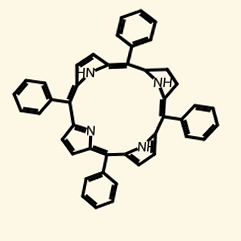 C1=C/C2=C(\c3ccccc3)c3ccc([nH]3)/C(c3ccccc3)=C3/CCC(N3)/C(c3ccccc3)=c3/cc/c([nH]3)=C(\c3ccccc3)C1=N2